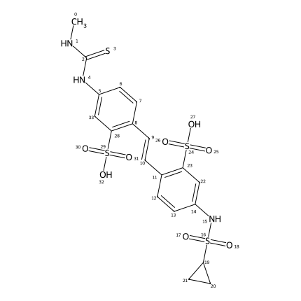 CNC(=S)Nc1ccc(C=Cc2ccc(NS(=O)(=O)C3CC3)cc2S(=O)(=O)O)c(S(=O)(=O)O)c1